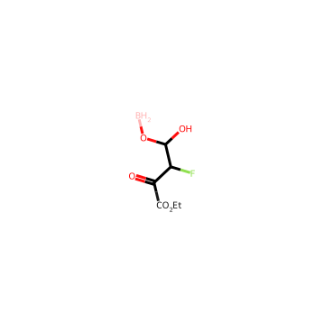 BOC(O)C(F)C(=O)C(=O)OCC